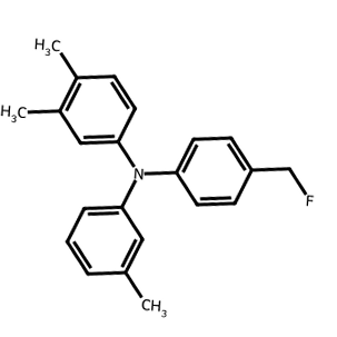 Cc1cccc(N(c2ccc(CF)cc2)c2ccc(C)c(C)c2)c1